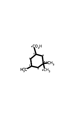 CC1CC(C(=O)O)CC(C)(C)C1